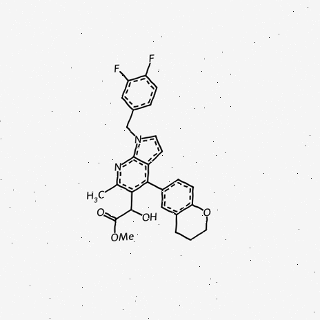 COC(=O)C(O)c1c(C)nc2c(ccn2Cc2ccc(F)c(F)c2)c1-c1ccc2c(c1)CCCO2